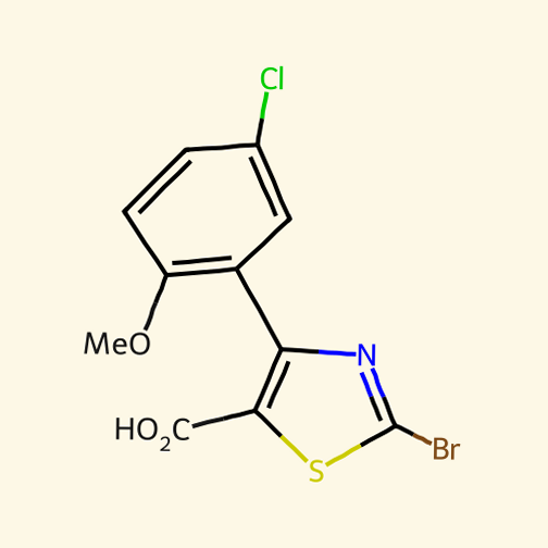 COc1ccc(Cl)cc1-c1nc(Br)sc1C(=O)O